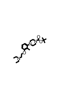 CCN(CC)CCOc1cccc(N2CCN(C(=O)OC(C)(C)C)CC2)c1C